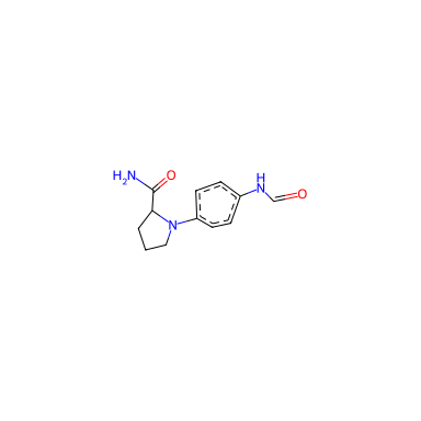 NC(=O)C1CCCN1c1ccc(NC=O)cc1